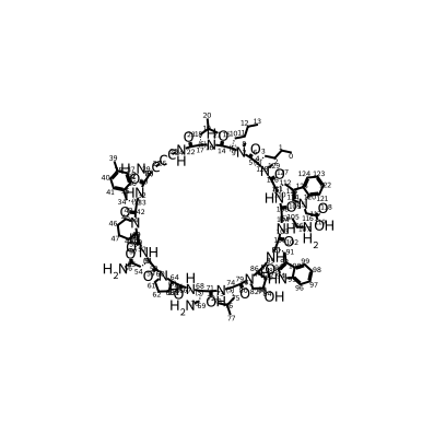 CCCC[C@H]1C(=O)N(C)[C@@H](CCCC)C(=O)N[C@@H](CC(C)C)C(=O)NCCC[C@@H](N)C(=O)N[C@@H](Cc2ccc(C)cc2)C(=O)N2CCCC[C@H]2C(=O)N[C@@H](CC(N)=O)C(=O)N2CCC[C@H]2C(=O)N[C@@H](CN)C(=O)N[C@@H](CC(C)C)C(=O)N2C[C@H](O)C[C@H]2C(=O)N[C@@H](Cc2c[nH]c3ccccc23)C(=O)N[C@@H](CCN)C(=O)N[C@@H](Cc2cn(CC(=O)O)c3ccccc23)C(=O)N1C